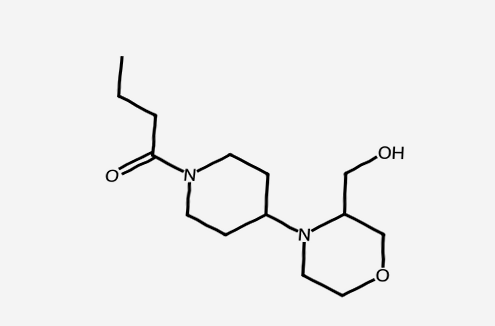 CCCC(=O)N1CCC(N2CCOCC2CO)CC1